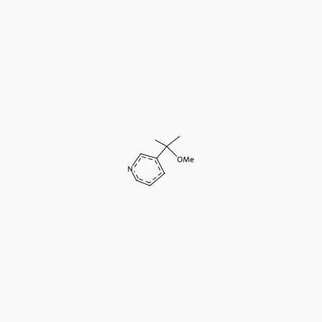 COC(C)(C)c1cccnc1